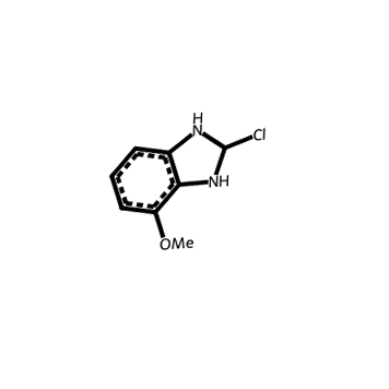 COc1cccc2c1NC(Cl)N2